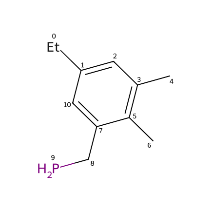 CCc1cc(C)c(C)c(CP)c1